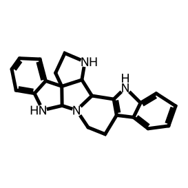 c1ccc2c(c1)NC1N3CCc4c([nH]c5ccccc45)C3C3NCCC231